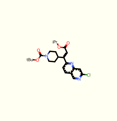 CC(C)OC(=O)C=C(c1ccc2cnc(Cl)cc2n1)C1CCN(C(=O)OC(C)(C)C)CC1